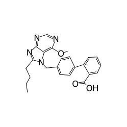 CCCCc1nc2ncnc(OC)c2n1Cc1ccc(-c2ccccc2C(=O)O)cc1